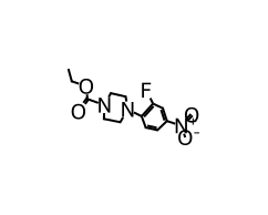 CCOC(=O)N1CCN(c2ccc([N+](=O)[O-])cc2F)CC1